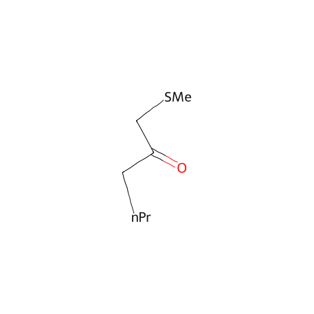 CCCCC(=O)CSC